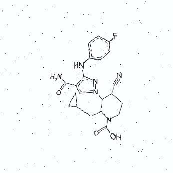 N#CC1CCN(C(=O)O)C(CC2CC2)C1n1cc(C(N)=O)c(Nc2ccc(F)cc2)n1